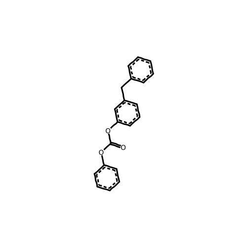 O=C(Oc1ccccc1)Oc1cccc(Cc2ccccc2)c1